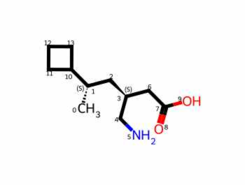 C[C@@H](C[C@H](CN)CC(=O)O)C1CCC1